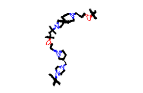 CC(C)(C)OCCCN1CCC2(CC1)CN(C(C)(C)CC(C)(C)OCCN1CC[C@@H](CN3CCN(C(C)(C)C)CC3)C1)C2